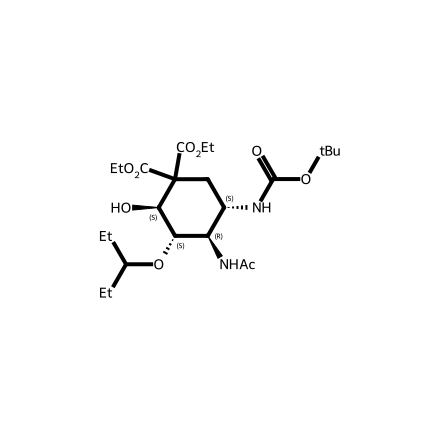 CCOC(=O)C1(C(=O)OCC)C[C@H](NC(=O)OC(C)(C)C)[C@@H](NC(C)=O)[C@H](OC(CC)CC)[C@H]1O